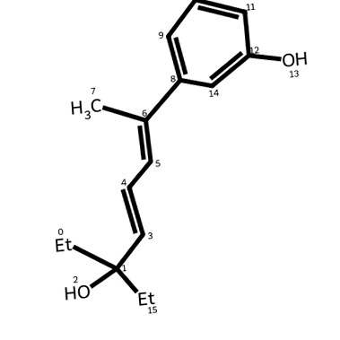 CCC(O)(C=CC=C(C)c1cccc(O)c1)CC